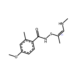 CN/C=C(/C)SNC(=O)c1ccc(OC)cc1C